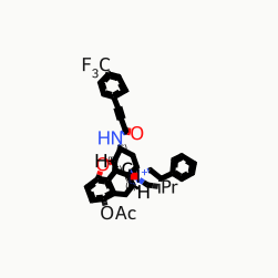 CC(=O)Oc1ccc2c3c1C[C@@H]1[C@@H]4CC[C@H](NC(=O)C#Cc5ccc(C(F)(F)F)cc5)[C@H](O2)[C@]34CC[N+]1(CCc1ccccc1)CC(C)C